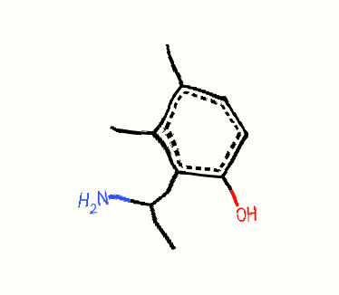 Cc1ccc(O)c(C(C)N)c1C